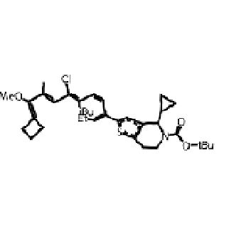 CC\C=C(/C=C\C(=C(Cl)\C=C(/C)C(OC)=C1CCC1)C(C)CC)c1cc2c(s1)CCN(C(=O)OC(C)(C)C)C2C1CC1